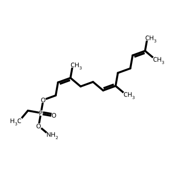 CCP(=O)(ON)OCC=C(C)CCC=C(C)CCC=C(C)C